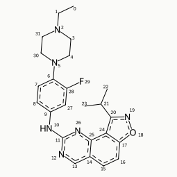 CCN1CCN(c2ccc(Nc3ncc4ccc5onc(C(C)C)c5c4n3)cc2F)CC1